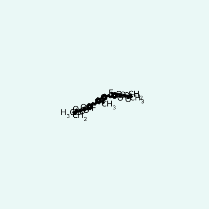 C=C(C)C(=O)OCOC(=O)Oc1ccc(CCc2ccc3c(c2)C(C)c2cc(CCc4ccc(OC(=O)OCOC(=O)C(=C)C)cc4F)ccc2-3)c(F)c1